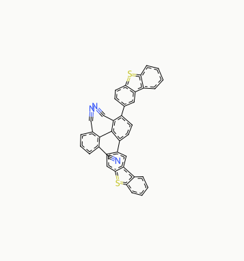 N#Cc1cccc(C#N)c1-c1c(-c2ccc3sc4ccccc4c3c2)ccc(-c2ccc3sc4ccccc4c3c2)c1C#N